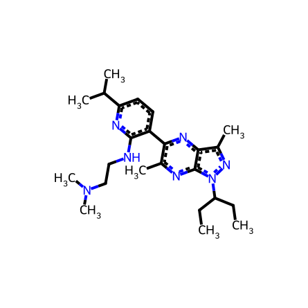 CCC(CC)n1nc(C)c2nc(-c3ccc(C(C)C)nc3NCCN(C)C)c(C)nc21